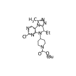 CCC1c2nnc(C)n2-c2cnc(Cl)nc2N1C1CCN(C(=O)OC(C)(C)C)CC1